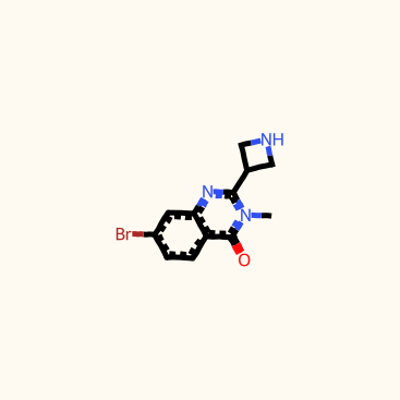 Cn1c(C2CNC2)nc2cc(Br)ccc2c1=O